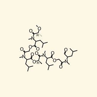 CO[C@H](C)C(=O)N(C)C(CC(C)C)C(=O)OCC(=O)N(C)C(CC(C)C)C(=O)O[C@H](C)C(=O)N(C)C(CC(C)C)C(=O)OCC(=O)N(C)C(C=O)CC(C)C